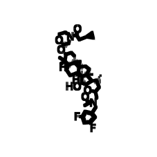 CC(=O)N(Cc1cc(F)cc(F)c1)CC1C[C@@H](C)C2C(O1)[C@H](O)[C@@]1(C)[C@@H]3CC[C@H]4C(C)(C)C(O[C@H]5CN(C(=O)CC6CC6)CCO5)CC[C@@]45C[C@@]35CC[C@]21C